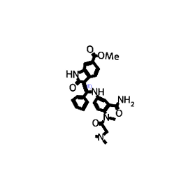 COC(=O)c1ccc2c(c1)NC(=O)/C2=C(/Nc1ccc(N(C)C(=O)CN(C)C)c(C(N)=O)c1)c1ccccc1